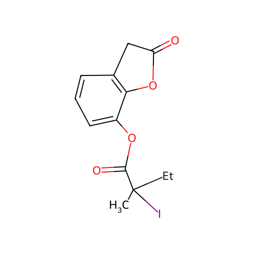 CCC(C)(I)C(=O)Oc1cccc2c1OC(=O)C2